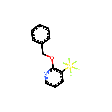 FS(F)(F)(F)(F)c1cccnc1OCc1ccccc1